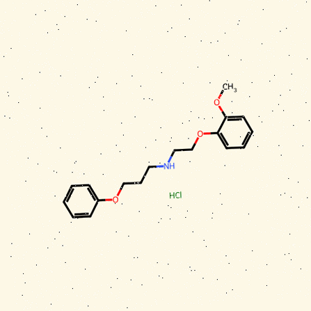 COc1ccccc1OCCNCCCOc1ccccc1.Cl